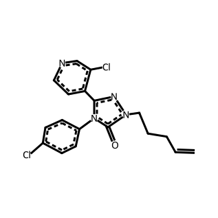 C=CCCCn1nc(-c2ccncc2Cl)n(-c2ccc(Cl)cc2)c1=O